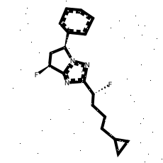 F[C@H](CCCC1CC1)c1nc2n(n1)[C@H](c1ccccc1)C[C@@H]2F